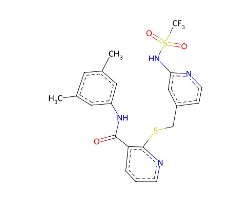 Cc1cc(C)cc(NC(=O)c2cccnc2SCc2ccnc(NS(=O)(=O)C(F)(F)F)c2)c1